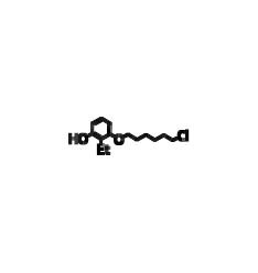 CCc1c(O)cccc1OCCCCCCCl